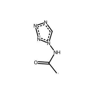 [CH2]C(=O)Nn1cnnn1